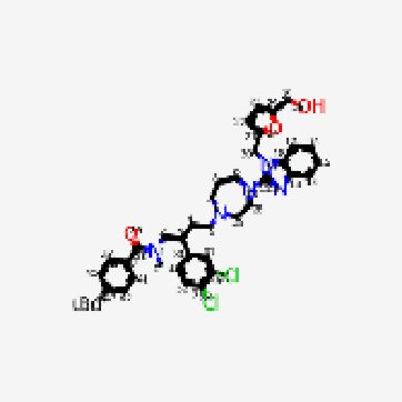 CN(CC(CCN1CCCN(c2nc3ccccc3n2Cc2ccc(CO)o2)CC1)c1ccc(Cl)c(Cl)c1)C(=O)c1ccc(C(C)(C)C)cc1